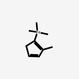 CC1=[C]([Fe]([CH3])([CH3])[CH3])CC=C1